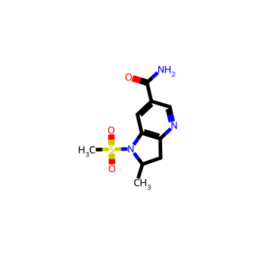 CC1Cc2ncc(C(N)=O)cc2N1S(C)(=O)=O